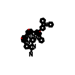 N#Cc1ccc(-c2cc(-n3c4ccccc4c4ccccc43)c(-n3c4ccccc4c4cc(-c5ccc6c(c5)c5ccccc5n6-c5ccccc5)ccc43)c(-n3c4ccccc4c4ccccc43)c2-n2c3ccccc3c3ccccc32)nc1